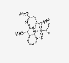 COc1cc(OC)nc(C(SC)c2cccc(F)c2NS(=O)(=O)C(F)F)n1